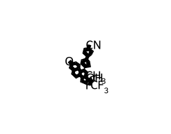 C[C@]12C[C@H](c3ccc(-c4ccc(C#N)cc4)cc3)C3C4CCC(=O)C=C4CCC3C1CC[C@@]2(O)C(F)(F)C(F)(F)F